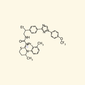 CCC(CNC(=O)/N=C1\SCCC(C)N1c1cccc(C)c1C(C)C)c1ccc(-c2ncn(-c3ccc(OC(F)(F)F)cc3)n2)cc1